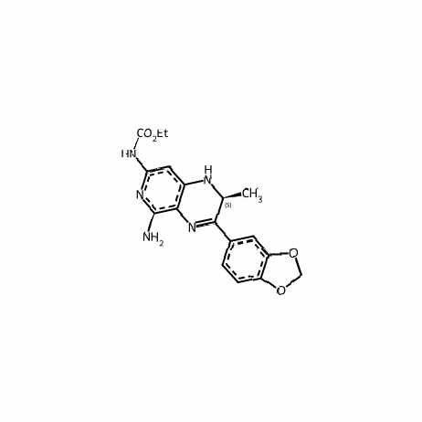 CCOC(=O)Nc1cc2c(c(N)n1)N=C(c1ccc3c(c1)OCO3)[C@H](C)N2